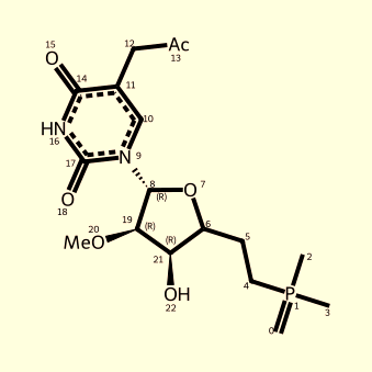 C=P(C)(C)CCC1O[C@@H](n2cc(CC(C)=O)c(=O)[nH]c2=O)[C@H](OC)[C@@H]1O